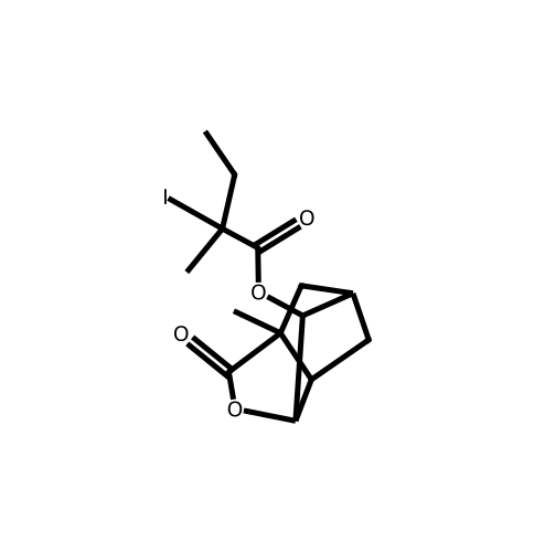 CCC(C)(I)C(=O)OC1C2CC3C1OC(=O)C3(C)C2